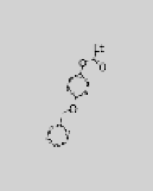 CCC(=O)Oc1ccc(OCc2ccccc2)cc1